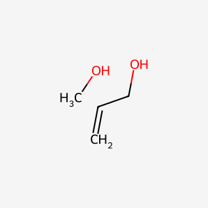 C=CCO.CO